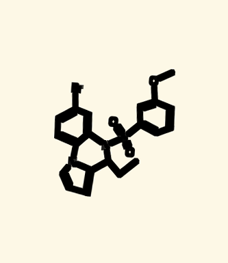 CCC1c2cccn2-c2ccc(Br)cc2N1S(=O)(=O)c1cccc(OC)c1